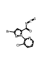 O=C(N=C=S)c1cc(Br)nn1-c1ncccc1Cl